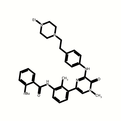 CCCCc1ccccc1C(=O)Nc1cccc(-c2cn(C)c(=O)c(Nc3ccc(CCN4CCN(CC)CC4)cc3)n2)c1C